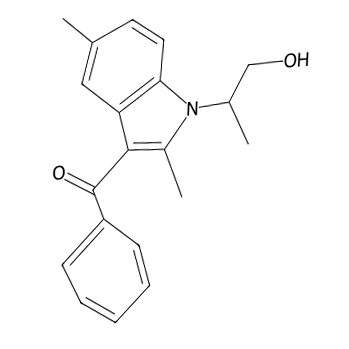 Cc1ccc2c(c1)c(C(=O)c1ccccc1)c(C)n2C(C)CO